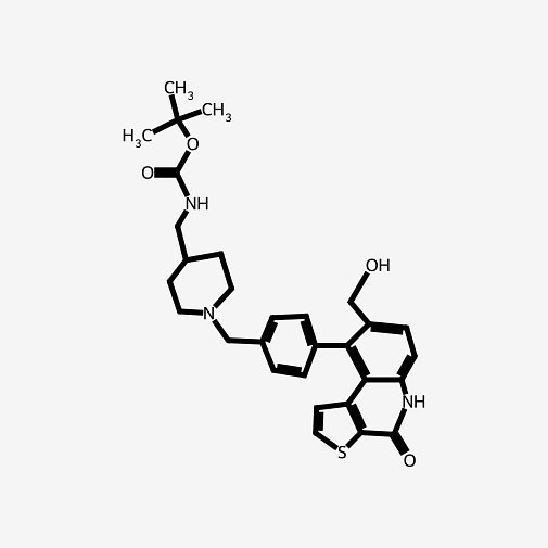 CC(C)(C)OC(=O)NCC1CCN(Cc2ccc(-c3c(CO)ccc4[nH]c(=O)c5sccc5c34)cc2)CC1